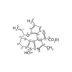 C=CCOc1cc(C)ccc1-c1c(C(=O)C(=O)OCC)c(C)nc2sc3c(c12)CCCC3.Cl